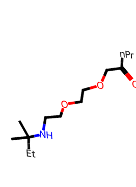 CCCC(=O)COCCOCCNC(C)(C)CC